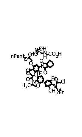 CC1COc2ccccc2N1C(=O)C(Cl)Cl.CCCCCOC(=O)COc1cc(N2C(=O)C3=C(CCCC3)C2=O)c(F)cc1Cl.CCOCN(C(=O)CCl)c1c(C)cccc1CC.O=C(O)CNCP(=O)(O)O